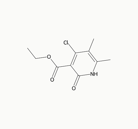 CCOC(=O)c1c(Cl)c(C)c(C)[nH]c1=O